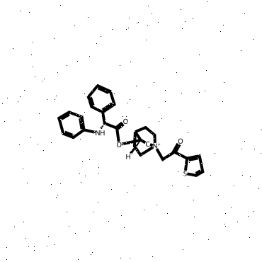 O=C(C[N+]12CCC(CC1)[C@@H](OC(=O)[C@H](Nc1ccccc1)c1ccccc1)C2)c1cccs1